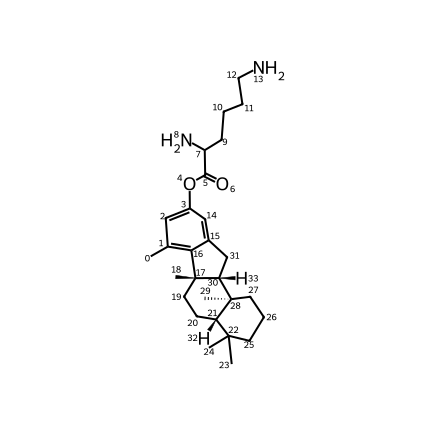 Cc1cc(OC(=O)C(N)CCCCN)cc2c1[C@@]1(C)CC[C@H]3C(C)(C)CCC[C@]3(C)[C@H]1C2